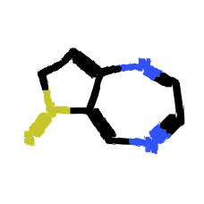 S=S1CC=C2N=CC=NC=C21